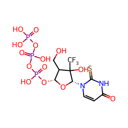 O=c1ccn([C@@H]2O[C@H](OP(=O)(O)OP(=O)(O)OP(=O)(O)O)C(CO)C2(O)C(F)(F)F)c(=S)[nH]1